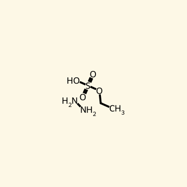 CCOS(=O)(=O)O.NN